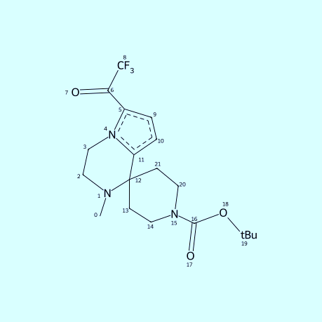 CN1CCn2c(C(=O)C(F)(F)F)ccc2C12CCN(C(=O)OC(C)(C)C)CC2